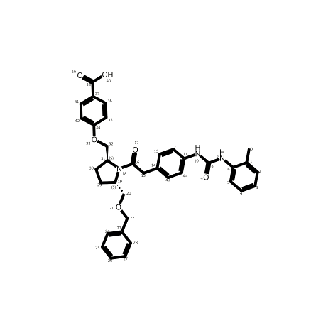 Cc1ccccc1NC(=O)Nc1ccc(CC(=O)N2[C@H](COCc3ccccc3)CC[C@H]2COc2ccc(C(=O)O)cc2)cc1